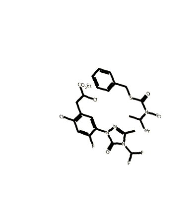 CCN(C(=O)SCc1ccccc1)C(C)C(C)C.CCOC(=O)C(Cl)Cc1cc(-n2nc(C)n(C(F)F)c2=O)c(F)cc1Cl